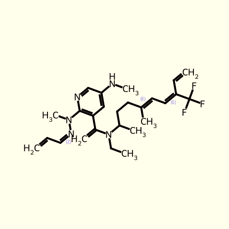 C=C/C=N\N(C)c1ncc(NC)cc1C(=C)N(CC)C(C)CC/C(C)=C/C=C(\C=C)C(F)(F)F